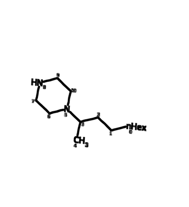 CCCCCCCCC(C)N1CCNCC1